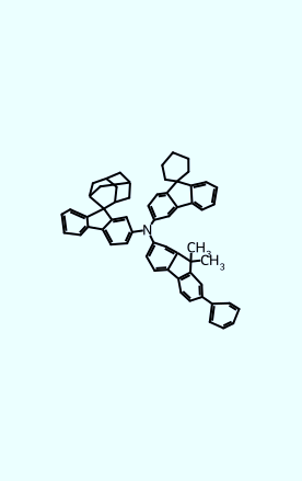 CC1(C)c2cc(-c3ccccc3)ccc2-c2ccc(N(c3ccc4c(c3)-c3ccccc3C43CCCCC3)c3ccc4c(c3)C3(c5ccccc5-4)C4CC5CC(C4)CC3C5)cc21